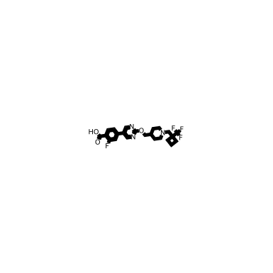 O=C(O)c1ccc(-c2cnc(OCC3CCN(CC4(C(F)(F)F)CCC4)CC3)nc2)cc1F